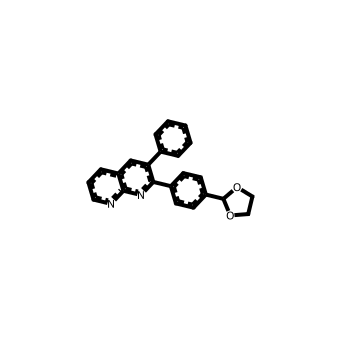 c1ccc(-c2cc3cccnc3nc2-c2ccc(C3OCCO3)cc2)cc1